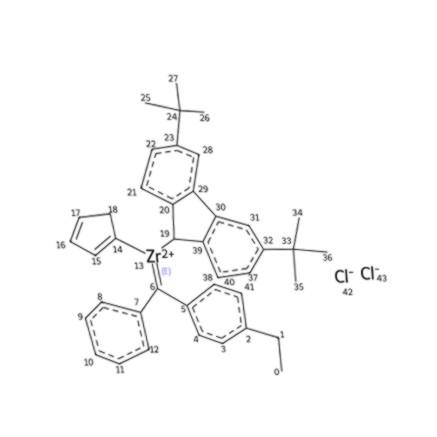 CCc1ccc(/[C](c2ccccc2)=[Zr+2](/[C]2=CC=CC2)[CH]2c3ccc(C(C)(C)C)cc3-c3cc(C(C)(C)C)ccc32)cc1.[Cl-].[Cl-]